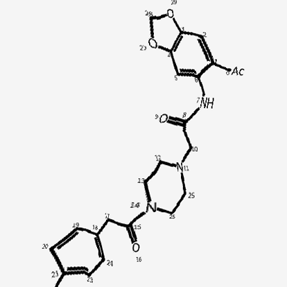 CC(=O)c1cc2c(cc1NC(=O)CN1CCN(C(=O)Cc3ccc(O)cc3)CC1)OCO2